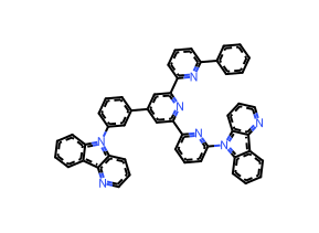 c1ccc(-c2cccc(-c3cc(-c4cccc(-n5c6ccccc6c6ncccc65)c4)cc(-c4cccc(-n5c6ccccc6c6ncccc65)n4)n3)n2)cc1